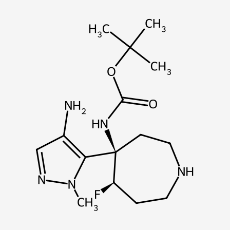 Cn1ncc(N)c1[C@]1(NC(=O)OC(C)(C)C)CCNCC[C@H]1F